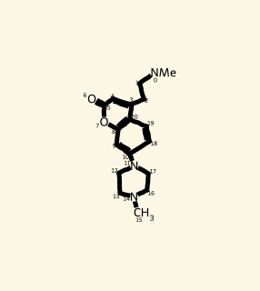 CNCCc1cc(=O)oc2cc(N3CCN(C)CC3)ccc12